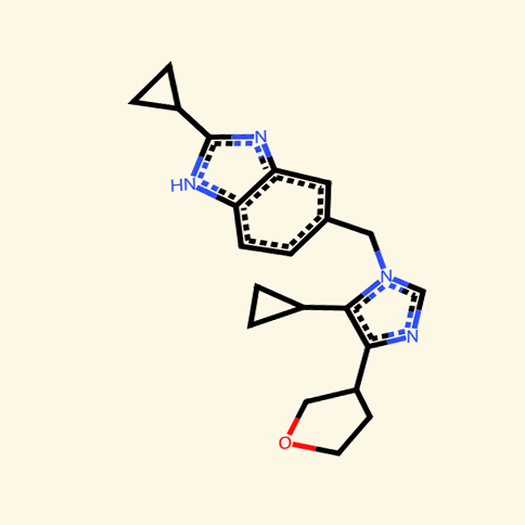 c1cc2[nH]c(C3CC3)nc2cc1Cn1cnc(C2CCOC2)c1C1CC1